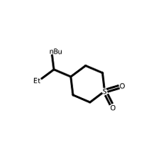 CCCCC(CC)C1CCS(=O)(=O)CC1